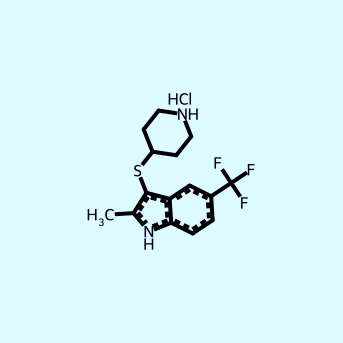 Cc1[nH]c2ccc(C(F)(F)F)cc2c1SC1CCNCC1.Cl